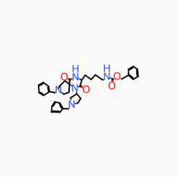 O=C(NCCCCC1NC(=O)C2(CCN(Cc3ccccc3)CC2)N(C2CCN(Cc3ccccc3)C2)C1=O)OCc1ccccc1